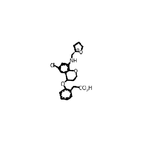 O=C(O)Cc1ccccc1OC1CCOc2c(NC[C@H]3CCCO3)cc(Cl)cc21